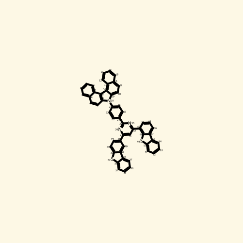 c1ccc2c(c1)ccc1c2c2c3ccccc3ccc2n1-c1ccc(-c2nc(-c3ccc4sc5ccccc5c4c3)cc(-c3cccc4c3sc3ccccc34)n2)cc1